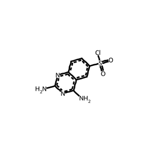 Nc1nc(N)c2cc(S(=O)(=O)Cl)ccc2n1